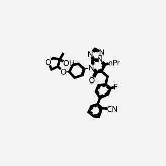 CCCc1c(Cc2ccc(-c3ccccc3C#N)cc2F)c(=O)n([C@H]2CC[C@H](OC3COCC3(C)O)CC2)c2ncnn12